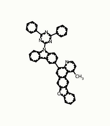 Cc1ccnc2c(-c3ccc4c(c3)c3ccccc3n4-c3nc(-c4ccccc4)nc(-c4ccccc4)n3)cc3cc4oc5ccccc5c4cc3c12